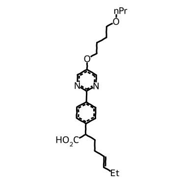 CCC=CCCC(C(=O)O)c1ccc(-c2ncc(OCCCCOCCC)cn2)cc1